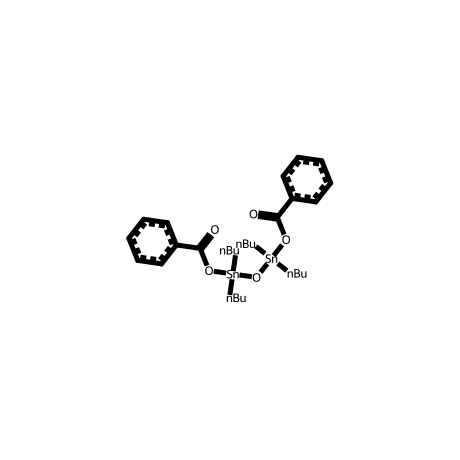 CCC[CH2][Sn]([CH2]CCC)([O]C(=O)c1ccccc1)[O][Sn]([CH2]CCC)([CH2]CCC)[O]C(=O)c1ccccc1